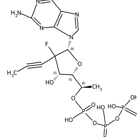 CC#CC1(F)[C@@H](O)[C@@H]([C@@H](C)OP(=O)(O)OP(=O)(O)OP(=O)(O)O)O[C@H]1n1cnc2cnc(N)nc21